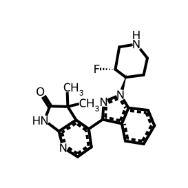 CC1(C)C(=O)Nc2nccc(-c3nn([C@@H]4CCNC[C@H]4F)c4ccccc34)c21